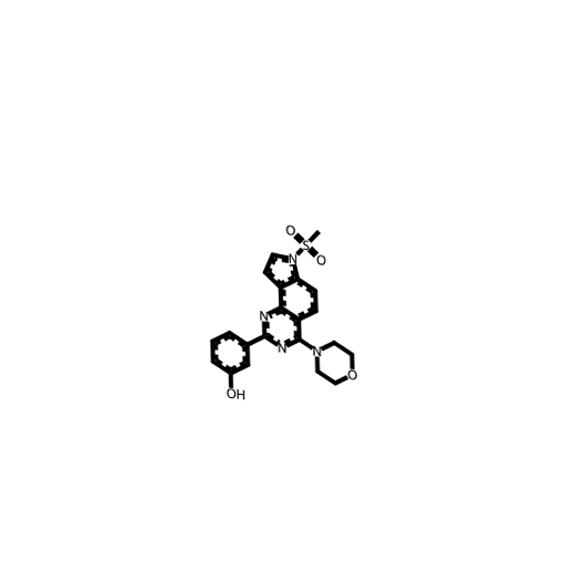 CS(=O)(=O)n1ccc2c3nc(-c4cccc(O)c4)nc(N4CCOCC4)c3ccc21